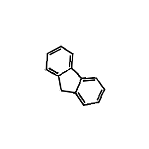 [c]1[c]cc2c([c]1)[CH]c1ccccc1-2